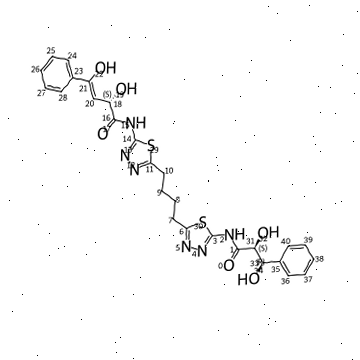 O=C(Nc1nnc(CCCCc2nnc(NC(=O)[C@@H](O)C=C(O)c3ccccc3)s2)s1)[C@@H](O)[C@H](O)c1ccccc1